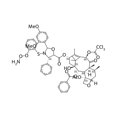 COc1ccc(C2OC(C(=O)O[C@H]3C[C@@]4(O)[C@@H](OC(=O)c5ccccc5)[C@@H]5[C@]6(OC(C)=O)CO[C@@H]6C[C@H](C)[C@@]5(C)C(=O)[C@H](OC(=O)C(Cl)(Cl)Cl)C(=C3C)C4(C)C)[C@H](c3ccccc3)N2Sc2ccccc2OON)c(OC)c1